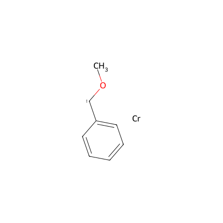 CO[C]c1ccccc1.[Cr]